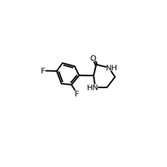 O=C1NCCNC1c1ccc(F)cc1F